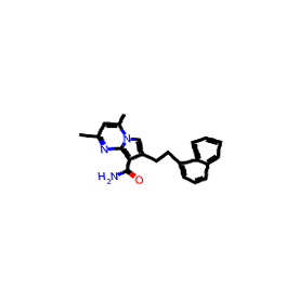 Cc1cc(C)n2cc(CCc3cccc4ccccc34)c(C(N)=O)c2n1